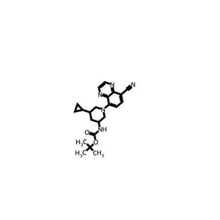 CC(C)(C)OC(=O)NC1CC(C2CC2)CN(c2ccc(C#N)c3nccnc23)C1